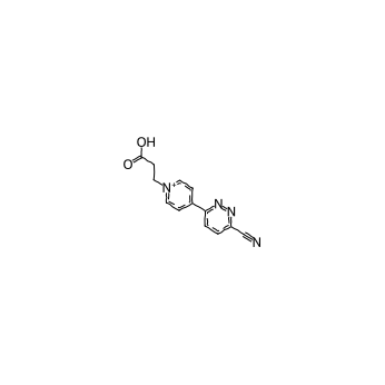 N#Cc1ccc(-c2cc[n+](CCC(=O)O)cc2)nn1